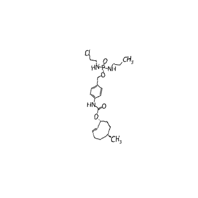 CCCNP(=O)(NCCCl)OCc1ccc(NC(=O)O[C@H]2/C=C/CC[C@H](C)CC2)cc1